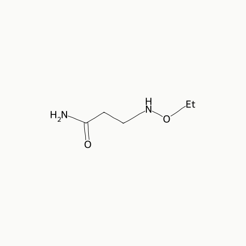 CCONCCC(N)=O